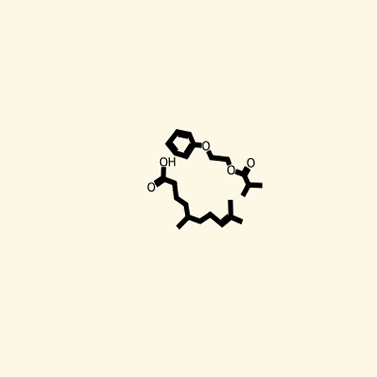 CC(C)=CCCC(C)CCCC(=O)O.CC(C)C(=O)OCCOc1ccccc1